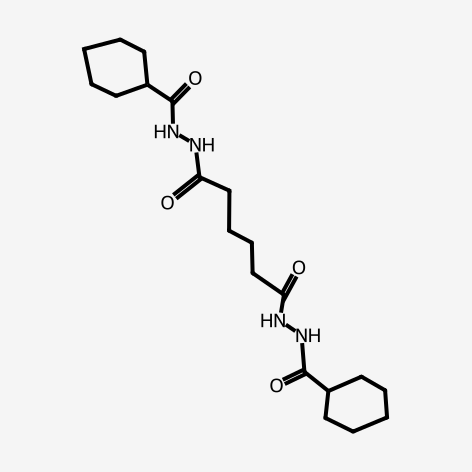 O=C(CCCCC(=O)NNC(=O)C1CCCCC1)NNC(=O)C1CCCCC1